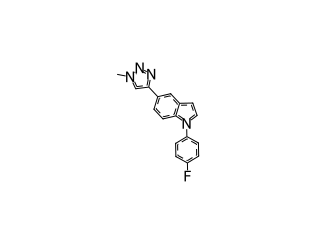 Cn1cc(-c2ccc3c(ccn3-c3ccc(F)cc3)c2)nn1